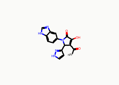 CCCC(=O)C1=C(O)C(=O)N(c2ccc3[nH]cnc3c2)C1c1cc[nH]n1